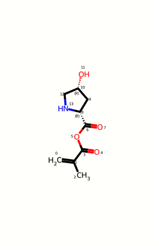 C=C(C)C(=O)OC(=O)[C@H]1C[C@@H](O)CN1